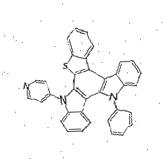 c1ccc(-n2c3ccccc3c3c4c5ccccc5sc4c4c(c5ccccc5n4-c4ccncc4)c32)cc1